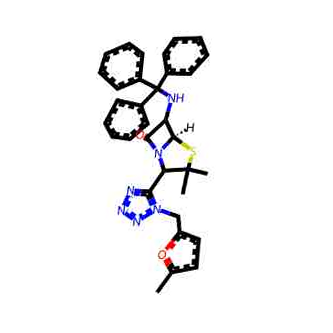 Cc1ccc(Cn2nnnc2C2N3C(=O)C(NC(c4ccccc4)(c4ccccc4)c4ccccc4)[C@H]3SC2(C)C)o1